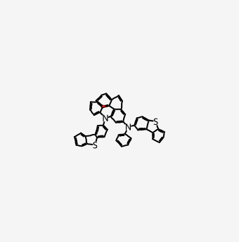 c1ccc(N(c2cc(N(c3ccccc3)c3ccc4sc5ccccc5c4c3)c3c(ccc4ccccc43)c2)c2ccc3sc4ccccc4c3c2)cc1